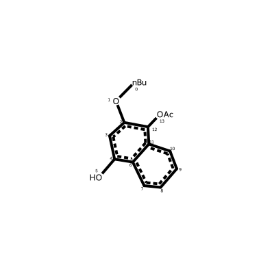 CCCCOc1cc(O)c2ccccc2c1OC(C)=O